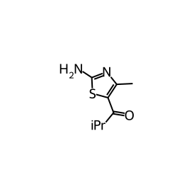 Cc1nc(N)sc1C(=O)C(C)C